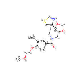 COc1cc(C(=O)N2CC[C@]3(C4CSC=N4)OCOC3C2)ccc1OCCOC(F)(F)F